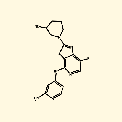 N#CC1CCCN(c2nc3c(F)cnc(Nc4cc(N)ncn4)c3s2)C1